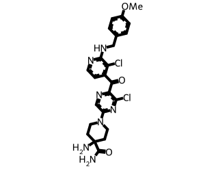 COc1ccc(CNc2nccc(C(=O)c3ncc(N4CCC(N)(C(N)=O)CC4)nc3Cl)c2Cl)cc1